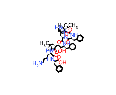 CC(C)C[C@H](C[C@H](O)[C@H](CC1CCCCC1)NC(=O)[C@H](Cc1c[nH]cn1)NC(=O)[C@H](Cc1ccccc1)NC(=O)OC(C)(C)C)C(=O)N[C@@H](CCCCN)C(=O)N[C@@H](Cc1ccccc1)C(=O)O